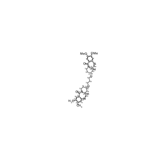 COc1cc2c(cc1OC)C(=O)N1CC[C@@H](OCCCO[C@@H]3CCN4C(=O)c5cc(C)c(C)cc5N=C[C@@H]4C3)C[C@H]1C=N2